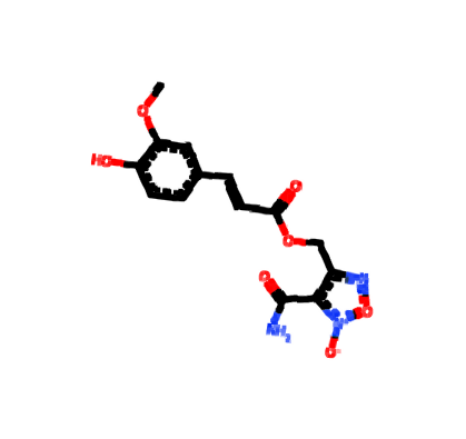 COc1cc(/C=C/C(=O)OCc2no[n+]([O-])c2C(N)=O)ccc1O